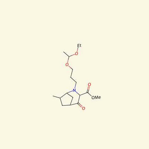 CCOC(C)OCCCN1C(C(=O)OC)C(=O)C2CC(C)C1C2